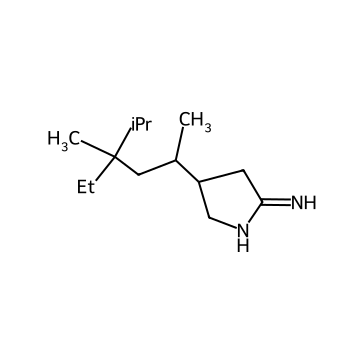 CCC(C)(CC(C)C1CNC(=N)C1)C(C)C